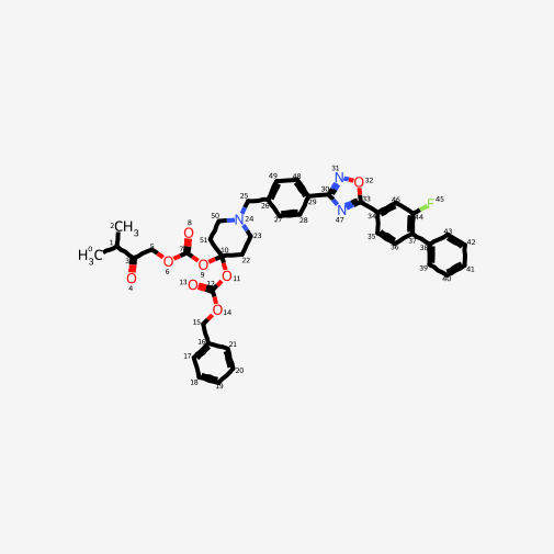 CC(C)C(=O)COC(=O)OC1(OC(=O)OCc2ccccc2)CCN(Cc2ccc(-c3noc(-c4ccc(-c5ccccc5)c(F)c4)n3)cc2)CC1